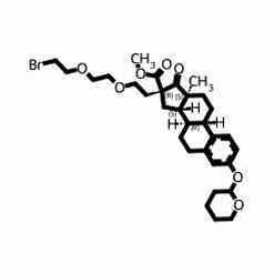 COC(=O)[C@@]1(CCOCCOCCBr)C[C@H]2[C@@H]3CCc4cc(OC5CCCCO5)ccc4[C@H]3CC[C@]2(C)C1=O